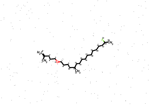 C=C(C)CCCOCCCCC(C)CCCCCCCCCCC(C)F